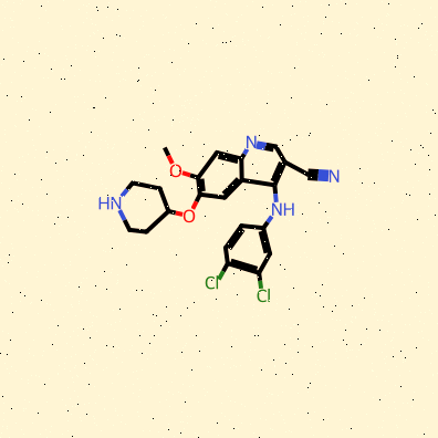 COc1cc2ncc(C#N)c(Nc3ccc(Cl)c(Cl)c3)c2cc1OC1CCNCC1